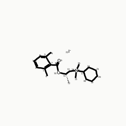 Cc1cccc(C)c1C(=O)O[C@@H](C)C[N+](C)(C)C1CCCCC1.[I-]